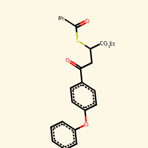 CCOC(=O)C(CC(=O)c1ccc(Oc2ccccc2)cc1)SC(=O)C(C)C